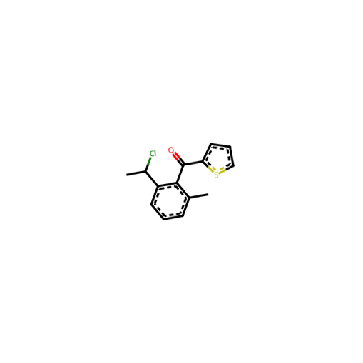 Cc1cccc(C(C)Cl)c1C(=O)c1cccs1